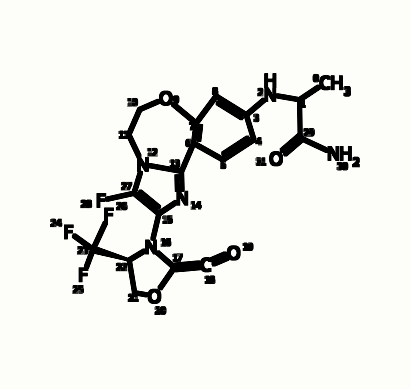 CC(Nc1ccc2c(c1)OCCn1c-2nc(N2C(=C=O)OC[C@H]2C(F)(F)F)c1F)C(N)=O